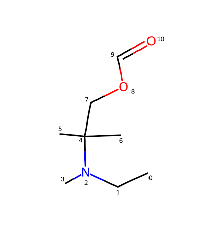 CCN(C)C(C)(C)COC=O